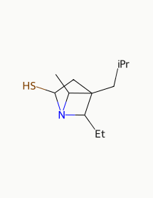 CCC1N2C(S)CC1(CC(C)C)C2C